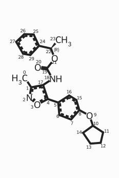 Cc1noc(-c2ccc(OC3CCCC3)cc2)c1NC(=O)O[C@H](C)c1ccccc1